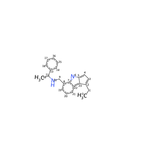 CCC1=CC=C2N=c3c(CNC(C)c4ccccc4)cccc3=C12